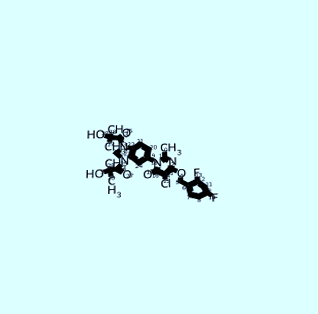 Cc1nc(OCc2ccc(F)cc2F)c(Cl)c(=O)n1-c1ccc2c(c1)N(C(=O)C(C)(C)O)CN2C(=O)C(C)(C)O